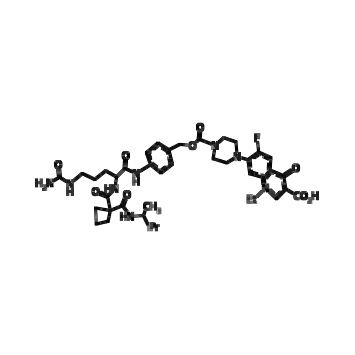 CCn1cc(C(=O)O)c(=O)c2cc(F)c(N3CCN(C(=O)OCc4ccc(NC(=O)C(CCCNC(N)=O)NC(=O)C5(C(=O)NC(C)C(C)C)CCC5)cc4)CC3)cc21